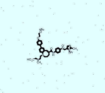 CCCCOCCOc1ccc(-c2ccc3c(c2)/C=C(/C(=O)Nc2ccc([S@@+]([O-])Cc4cnc(C)n4CCC)cc2)CCCN3CCN(C)CC(=O)O)cc1